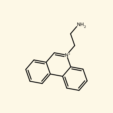 NCC[n+]1cc2ccccc2c2ccccc21